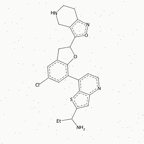 CCC(N)c1cc2nccc(-c3cc(Cl)cc4c3OC(c3onc5c3CNCC5)C4)c2s1